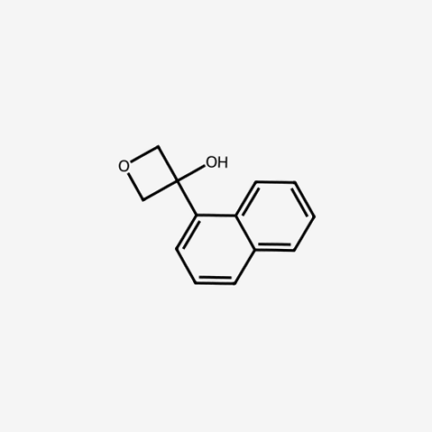 OC1(c2cccc3ccccc23)COC1